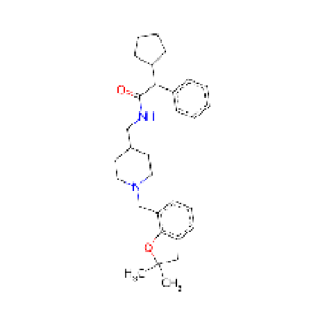 CC1(C)Cc2cccc(CN3CCC(CNC(=O)C(c4ccccc4)C4CCCC4)CC3)c2O1